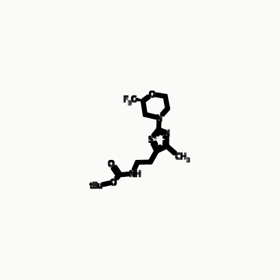 Cc1nc(N2CCO[C@@H](C(F)(F)F)C2)sc1CCNC(=O)OC(C)(C)C